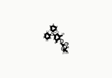 Cc1cc([S+](c2ccccc2)c2ccccc2)cc(C)c1OCC(=O)OC(C)(C)C